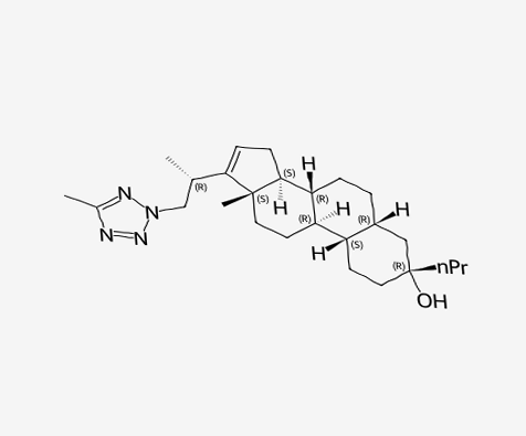 CCC[C@@]1(O)CC[C@H]2[C@H](CC[C@@H]3[C@@H]2CC[C@]2(C)C([C@@H](C)Cn4nnc(C)n4)=CC[C@@H]32)C1